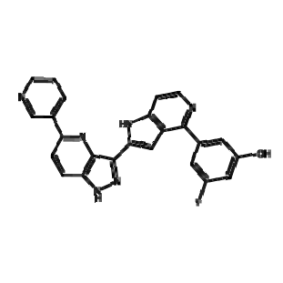 Oc1cc(F)cc(-c2nccc3[nH]c(-c4n[nH]c5ccc(-c6cccnc6)nc45)cc23)c1